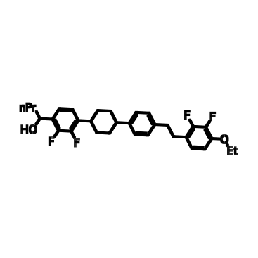 CCCC(O)c1ccc(C2CCC(c3ccc(CCc4ccc(OCC)c(F)c4F)cc3)CC2)c(F)c1F